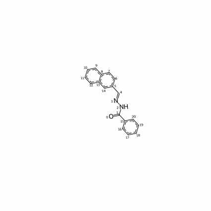 O=C(NN=Cc1ccc2ccccc2c1)c1ccccc1